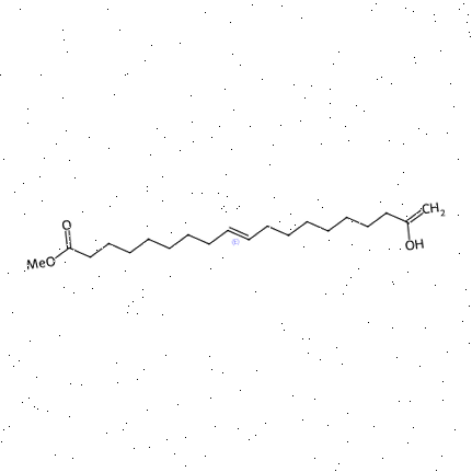 C=C(O)CCCCCCC/C=C/CCCCCCCC(=O)OC